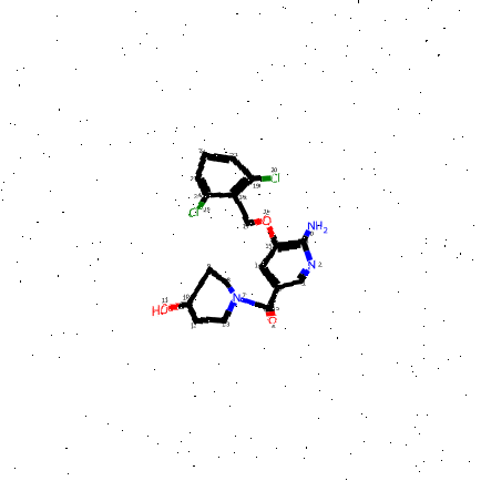 Nc1ncc(C(=O)N2CCC(O)CC2)cc1OCc1c(Cl)cccc1Cl